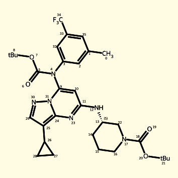 Cc1cc(N(C(=O)OC(C)(C)C)c2cc(N[C@H]3CCCN(C(=O)OC(C)(C)C)C3)nc3c(C4CC4)cnn23)cc(C(F)(F)F)c1